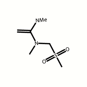 C=C(NC)N(C)CS(C)(=O)=O